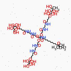 CC(CO)C(O)C(O)C(O)C(O)OCCCCC(=O)NCCCNC(=O)CCOCC(COCCC(=O)NCCCNC(=O)CCCCOC1OC(CO)C(O)C(O)C1O)(COCCC(=O)NCCCNC(=O)CCCCO[C@H](O)/C(O)=C(\O)CO)NC(=O)CCCCCCCCCCC(=O)C(C)(C)C